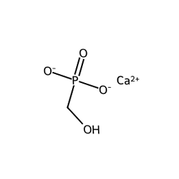 O=P([O-])([O-])CO.[Ca+2]